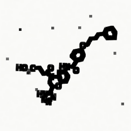 O=C(O)CCC(=O)N1CC(c2nnn[nH]2)Oc2ccc(NC(=O)c3ccc(OCCCCc4ccccc4)cc3)cc21